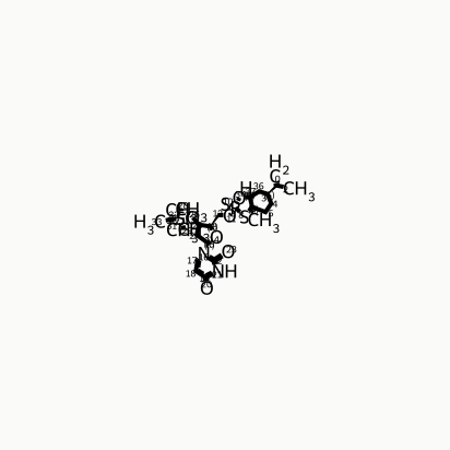 C=C(C)[C@H]1CC[C@@]2(C)SP(=S)(OC[C@H]3O[C@@H](n4ccc(=O)[nH]c4=O)CC3O[Si](C)(C)C(C)(C)C)O[C@@H]2C1